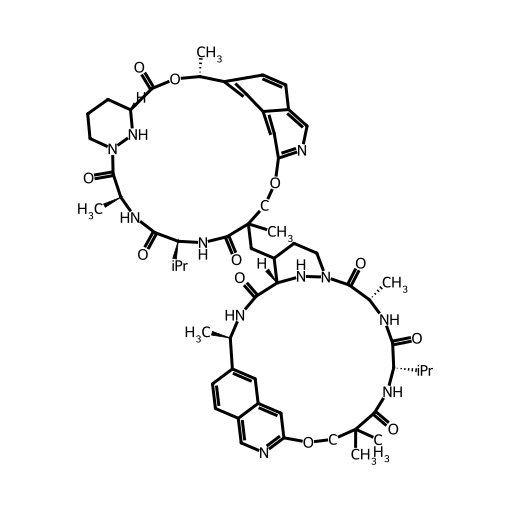 CC(C)[C@@H]1NC(=O)C(C)(C)COc2cc3cc(ccc3cn2)[C@@H](C)NC(=O)[C@H]2NN(CCC2CC2(C)COc3cc4cc(ccc4cn3)[C@@H](C)OC(=O)[C@H]3CCCN(N3)C(=O)[C@H](C)NC(=O)[C@H](C(C)C)NC2=O)C(=O)[C@H](C)NC1=O